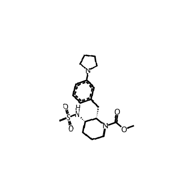 COC(=O)N1CCC[C@H](NS(C)(=O)=O)[C@@H]1Cc1cccc(N2CCCC2)c1